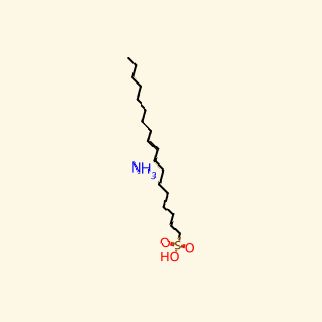 CCCCCCCCC=CCCCCCCCCS(=O)(=O)O.N